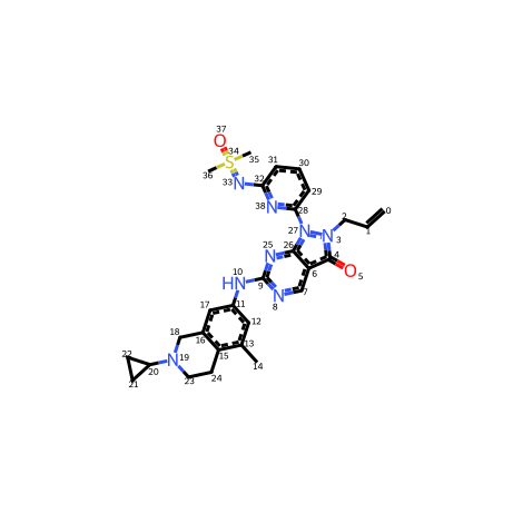 C=CCn1c(=O)c2cnc(Nc3cc(C)c4c(c3)CN(C3CC3)CC4)nc2n1-c1cccc(N=S(C)(C)=O)n1